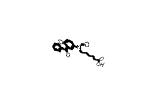 O=CN(CCCCCC(=O)O)c1ccc2oc3ccccc3c(=O)c2c1